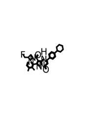 Cc1ccnc(-c2nn3c(=O)cc(-c4ccc(C5CCCCC5)cc4)[nH]c3c2C(=O)N2CC(CF)C2)c1C